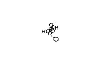 CCC(=O)NOP(=O)(O)OCCc1ccccc1